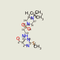 CSc1ncc(C=O)c(NCCS(=O)(=O)N2CCN(C(C)(C)C)CC2)n1